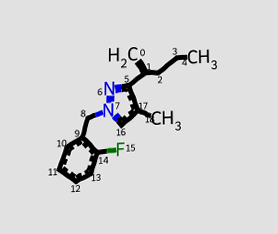 C=C(CCC)c1nn(Cc2ccccc2F)cc1C